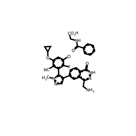 Cn1ncc(-c2ccc3c(=O)[nH]nc(CN)c3c2)c1-c1c(F)c(Cl)cc(OC2CC2)c1C#N.O=C(O)CNC(=O)c1ccccc1